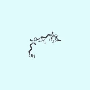 C[SiH2]O[Si](C)(C)CCC[SiH2]O[Si](C)(C)CCCO